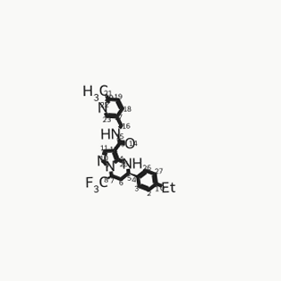 CCc1ccc([C@H]2C[C@@H](C(F)(F)F)n3ncc(C(=O)NCc4ccc(C)nc4)c3N2)cc1